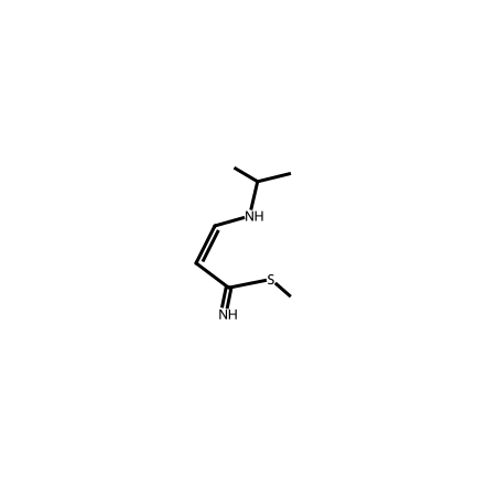 CSC(=N)/C=C\NC(C)C